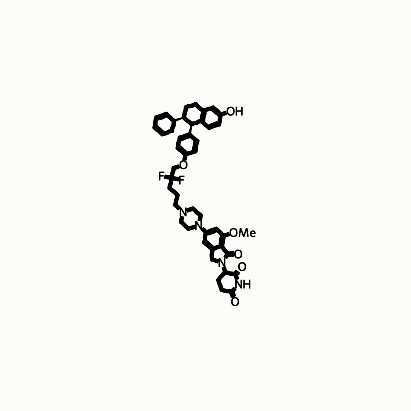 COc1cc(N2CCN(CCCC(F)(F)COc3ccc([C@@H]4c5ccc(O)cc5CC[C@@H]4C4C=CC=CC4)cc3)CC2)cc2c1C(=O)N(C1CCC(=O)NC1=O)C2